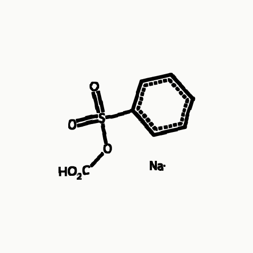 O=C(O)OS(=O)(=O)c1ccccc1.[Na]